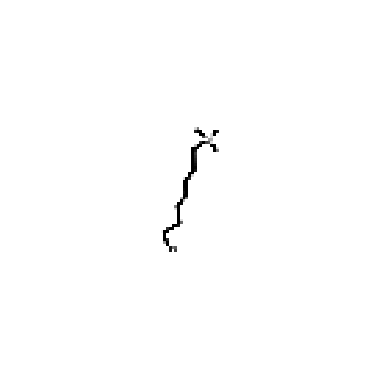 C[C](C)CCCCCCC[Si](C)(C)C